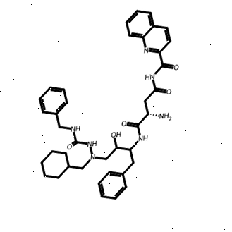 N[C@@H](CC(=O)NC(=O)c1ccc2ccccc2n1)C(=O)NC(Cc1ccccc1)C(O)CN(CC1CCCCC1)NC(=O)NCc1ccccc1